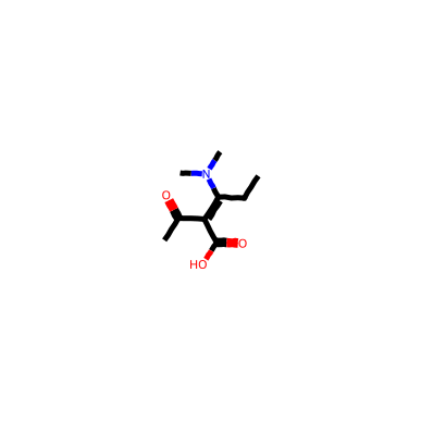 CCC(=C(C(C)=O)C(=O)O)N(C)C